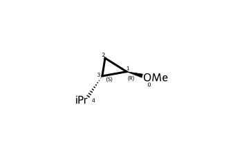 CO[C@@H]1C[C@H]1C(C)C